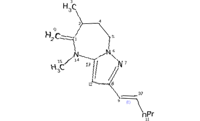 C=C1C(C)CCn2nc(/C=C/CCC)cc2N1C